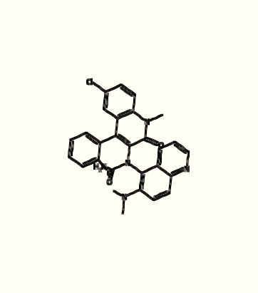 CN(C)c1ccc2ncccc2c1N(C(N)=O)c1c(-c2ccccc2Cl)c2cc(Cl)ccc2n(C)c1=O